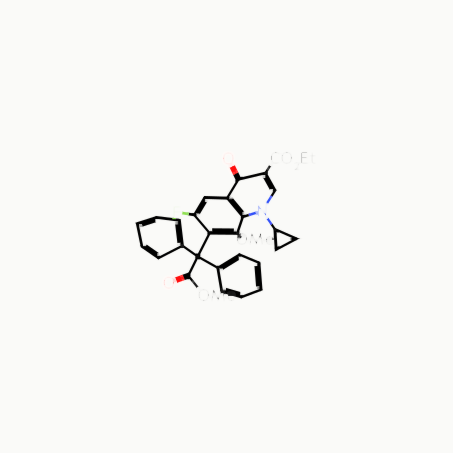 CCOC(=O)c1cn(C2CC2)c2c(OC)c(C(C(=O)OC)(c3ccccc3)c3ccccc3)c(F)cc2c1=O